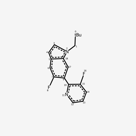 CC(C)(C)Cn1ccc2cc(F)c(-c3ncccc3F)cc21